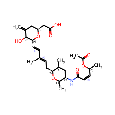 C=C1C[C@@H](CC(=O)O)O[C@H](/C=C/C(C)=C/C[C@@H]2O[C@H](C)[C@H](NC(=O)/C=C\[C@H](C)OC(C)=O)C[C@@H]2C)[C@H]1O